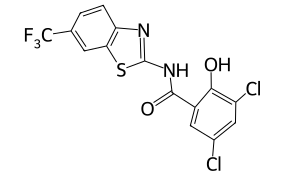 O=C(Nc1nc2ccc(C(F)(F)F)cc2s1)c1cc(Cl)cc(Cl)c1O